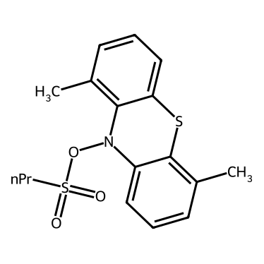 CCCS(=O)(=O)ON1c2cccc(C)c2Sc2cccc(C)c21